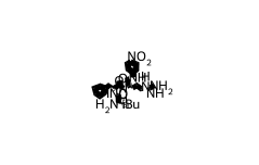 CC[C@H](C)[C@H](N)C(=O)N[C@@H](Cc1ccccc1)C(=O)N[C@@H](CCCNC(=N)N)C(=O)Nc1ccc([N+](=O)[O-])cc1